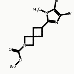 Cn1c(C2CC3(C2)CN(C(=O)OC(C)(C)C)C3)nc(Br)c1Br